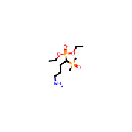 CCOP(=O)(OCC)C(CCCN)P(C)(C)=O